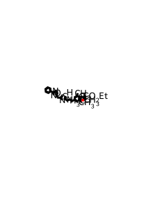 CCOC(=O)C(C)(C)Oc1c(C)cc(CNCc2nc(Cc3nc(-c4ccccc4)no3)cs2)cc1C